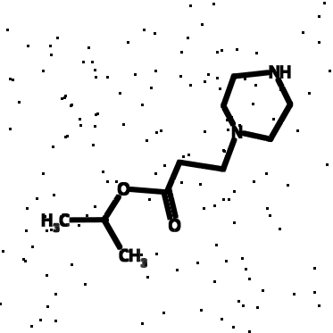 CC(C)OC(=O)CCN1CCNCC1